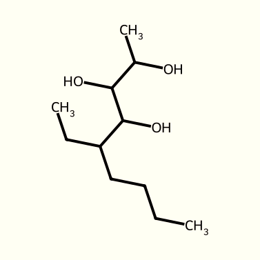 CCCCC(CC)C(O)C(O)C(C)O